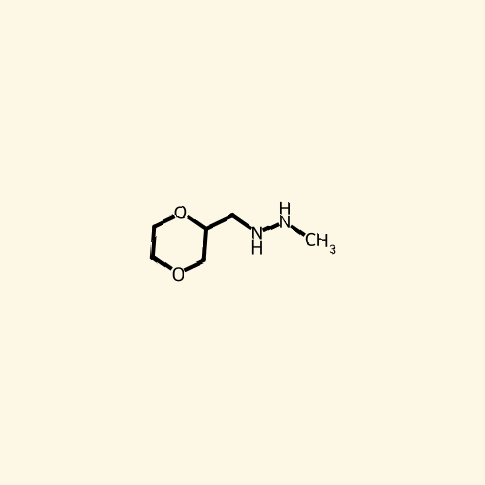 CNNCC1COCCO1